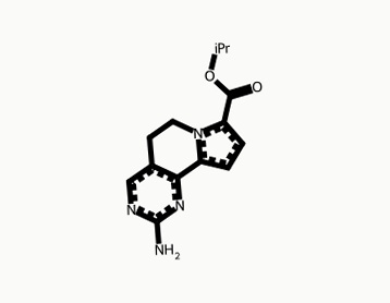 CC(C)OC(=O)c1ccc2n1CCc1cnc(N)nc1-2